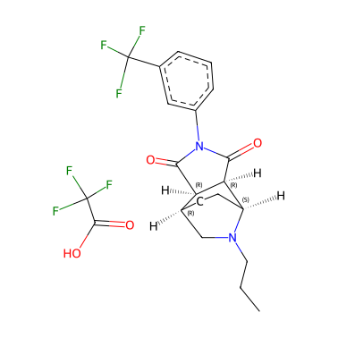 CCCN1C[C@@H]2CC[C@H]1[C@@H]1C(=O)N(c3cccc(C(F)(F)F)c3)C(=O)[C@H]21.O=C(O)C(F)(F)F